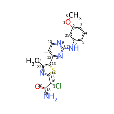 COc1cccc(Nc2nccc(-c3sc(C(Cl)C(N)=O)nc3C)n2)c1